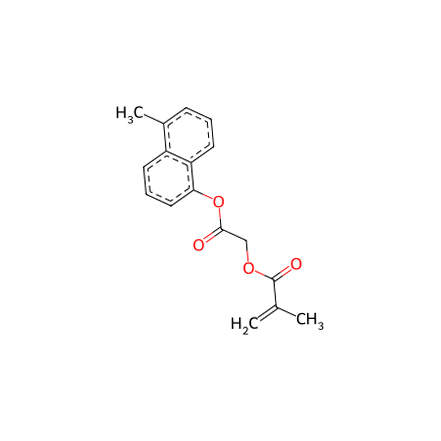 C=C(C)C(=O)OCC(=O)Oc1cccc2c(C)cccc12